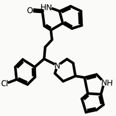 O=c1cc(CCC(c2ccc(Cl)cc2)N2CCC(c3c[nH]c4ccccc34)CC2)c2ccccc2[nH]1